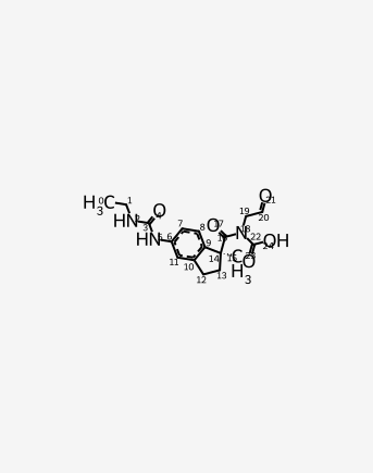 CCNC(=O)Nc1ccc2c(c1)CC[C@]2(C)C(=O)N(CC=O)C(=O)O